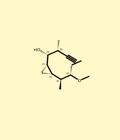 C#C[C@@H](C)[C@@H](O)[C@H]1C[C@H]1[C@H](C)[C@H](CC)OC